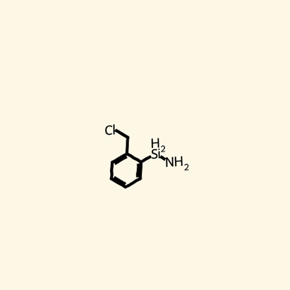 N[SiH2]c1ccccc1CCl